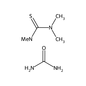 CNC(=S)N(C)C.NC(N)=O